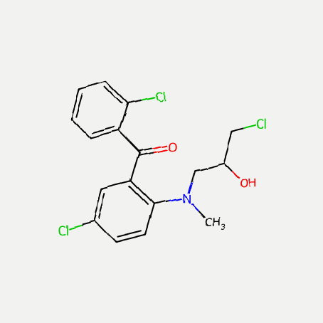 CN(CC(O)CCl)c1ccc(Cl)cc1C(=O)c1ccccc1Cl